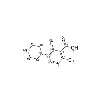 O=C(O)c1c(Cl)cnc(N2CCOCC2)c1F